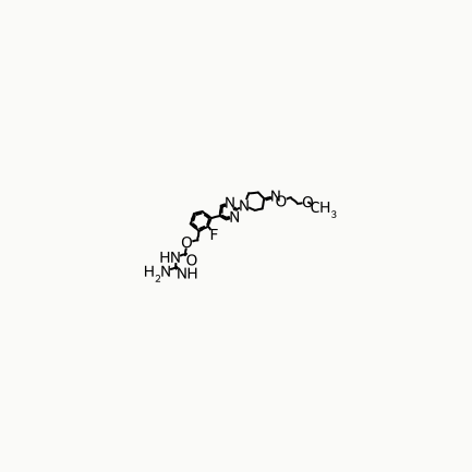 COCCON=C1CCN(c2ncc(-c3cccc(COC(=O)NC(=N)N)c3F)cn2)CC1